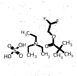 CC(C)(C)C(=O)OCC(F)F.CCN(CC)CC.O=S(=O)(O)O